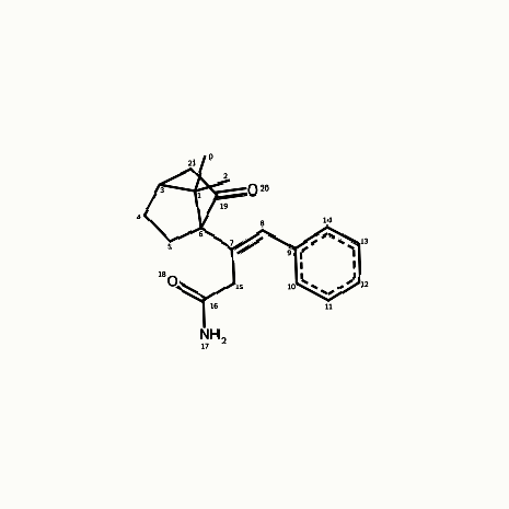 CC1(C)C2CCC1(C(=Cc1ccccc1)CC(N)=O)C(=O)C2